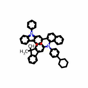 CC1(C)c2ccccc2-c2cc(N(c3ccc(C4CCCCC4)cc3)c3c(-c4ccc5c6ccccc6n(-c6ccccc6)c5c4)ccc4ccccc34)ccc21